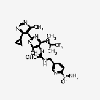 Cc1nc(-c2c(C)ncnc2C2CC2)nc(N(C)C(C)C(F)(F)F)c1/N=C(\C=O)NCc1ccc([S+](N)[O-])nc1